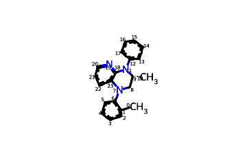 Cc1ccccc1N1C[C@@H](C)N(c2ccccc2)c2ncccc21